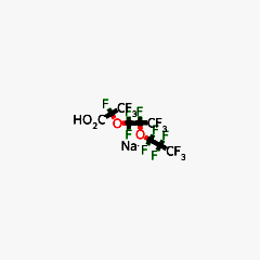 O=C(O)C(F)(OC(F)(F)C(F)(OC(F)(F)C(F)(F)C(F)(F)F)C(F)(F)F)C(F)(F)F.[Na]